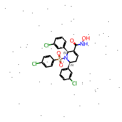 O=C(NO)C1=CC[C@@H](c2cccc(Cl)c2)N(S(=O)(=O)c2ccc(Cl)cc2)[C@H]1c1cccc(Cl)c1